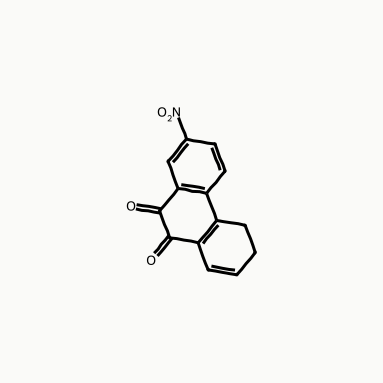 O=C1C(=O)c2cc([N+](=O)[O-])ccc2C2=C1C=CCC2